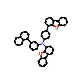 c1cc(-c2cccc3ccccc23)cc(N(c2ccc(-c3cccc4c3oc3ccccc34)cc2)c2cccc3c2oc2ccccc23)c1